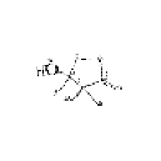 C=C1CCC(C)(O)C1(C)C